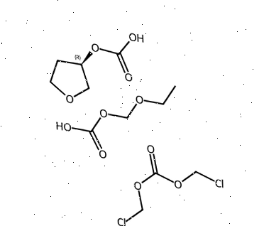 CCOCOC(=O)O.O=C(O)O[C@@H]1CCOC1.O=C(OCCl)OCCl